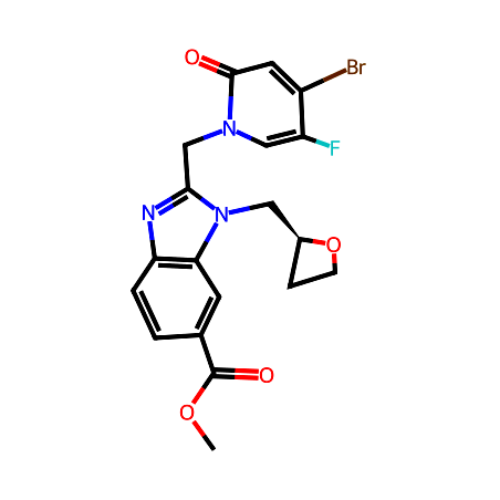 COC(=O)c1ccc2nc(Cn3cc(F)c(Br)cc3=O)n(C[C@@H]3CCO3)c2c1